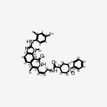 Cc1cc(F)ccc1Nc1nc2ccc3c(C)c(/C=C\CNC(=O)C4CCP(=O)(c5ccccc5)CC4)[nH]c(=O)c3c2n1C